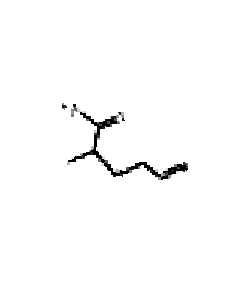 C=CCCC(C)C(N)=O